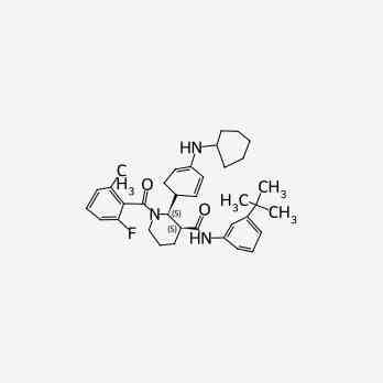 Cc1cccc(F)c1C(=O)N1CCC[C@H](C(=O)Nc2cccc(C(C)(C)C)c2)[C@@H]1C1C=CC(NC2CCCCC2)=CC1